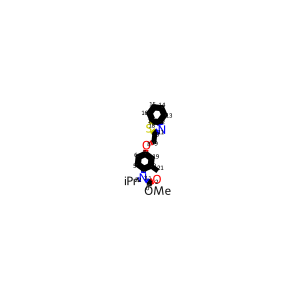 COC(=O)N(c1ccc(OCc2nc3ccccc3s2)cc1C)C(C)C